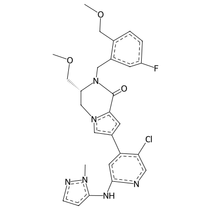 COCc1ccc(F)cc1CN1C(=O)c2cc(-c3cc(Nc4ccnn4C)ncc3Cl)cn2C[C@@H]1COC